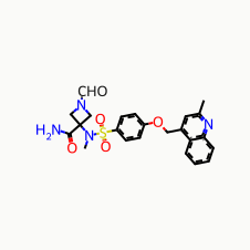 Cc1cc(COc2ccc(S(=O)(=O)N(C)C3(C(N)=O)CN(C=O)C3)cc2)c2ccccc2n1